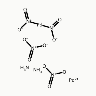 N.N.O=[N+]([O-])[O-].O=[N+]([O-])[O-].O=[N+]([O-])[Pd][N+](=O)[O-].[Pd+2]